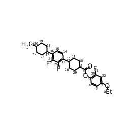 CCOc1ccc(OC(=O)C2CCC(c3ccc(C4CCC(C)CC4)c(F)c3F)CC2)c(F)c1